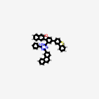 c1ccc(C2N=C(c3ccc4ccc5ccccc5c4c3)N=C(c3cc(-c4ccc5sc6ccccc6c5c4)cc4oc5cc6ccccc6cc5c34)N2)cc1